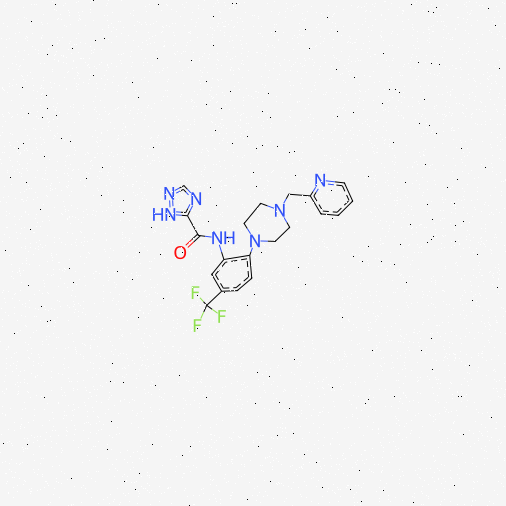 O=C(Nc1cc(C(F)(F)F)ccc1N1CCN(Cc2ccccn2)CC1)c1ncn[nH]1